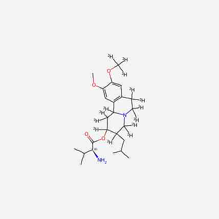 [2H]C([2H])([2H])Oc1cc2c(cc1OC)C1([2H])N(C([2H])([2H])C2([2H])[2H])C([2H])([2H])C([2H])(CC(C)C)C([2H])(OC(=O)[C@@H](N)C(C)C)C1([2H])[2H]